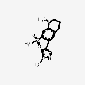 CN1CCCc2cc(-c3cnn(C)c3)c(S(C)(=O)=O)cc21